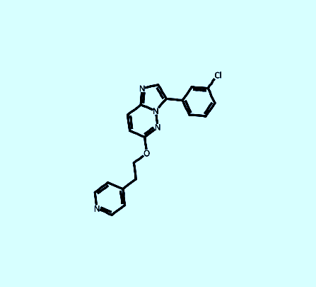 Clc1cccc(-c2cnc3ccc(OCCc4ccncc4)nn23)c1